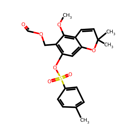 COc1c2c(cc(OS(=O)(=O)c3ccc(C)cc3)c1COC=O)OC(C)(C)C=C2